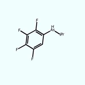 CC(C)[AsH]c1cc(F)c(F)c(F)c1F